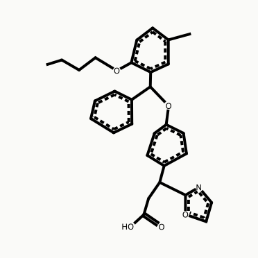 CCCCOc1ccc(C)cc1C(Oc1ccc(C(CC(=O)O)c2ncco2)cc1)c1ccccc1